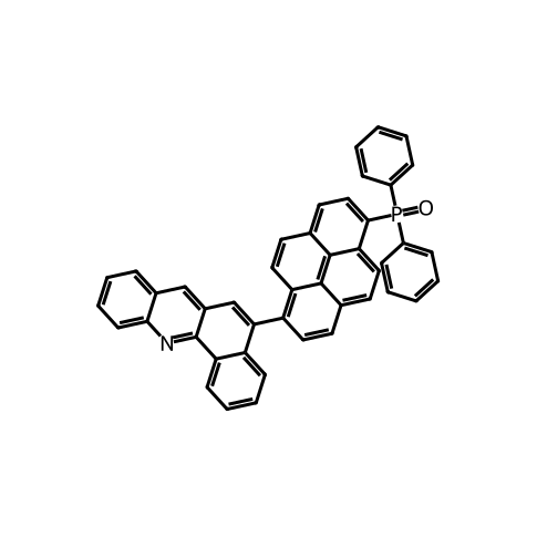 O=P(c1ccccc1)(c1ccccc1)c1ccc2ccc3c(-c4cc5cc6ccccc6nc5c5ccccc45)ccc4ccc1c2c43